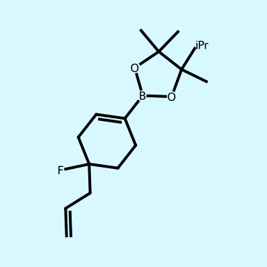 C=CCC1(F)CC=C(B2OC(C)(C)C(C)(C(C)C)O2)CC1